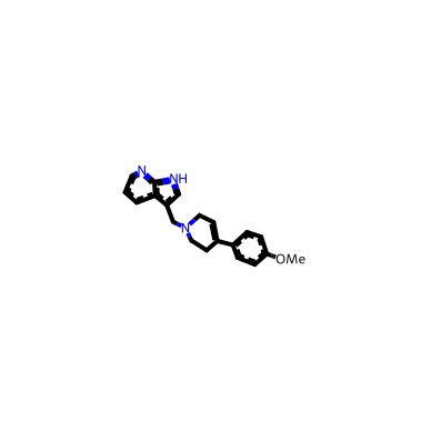 COc1ccc(C2=CCN(Cc3c[nH]c4ncccc34)CC2)cc1